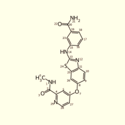 CNC(=O)c1cc(Oc2ccc3nc(Nc4cccc(C(N)=O)c4)sc3c2)ccn1